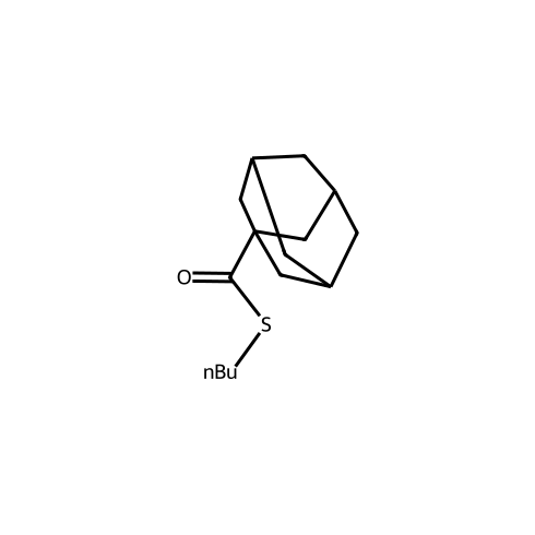 CCCCSC(=O)C12CC3CC(CC(C3)C1)C2